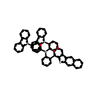 c1ccc(N(c2ccc(-n3c4ccccc4c4ccccc43)cc2)c2ccccc2-n2c3ccccc3c3ccccc32)c(-c2cccc3c2oc2cc4ccccc4cc23)c1